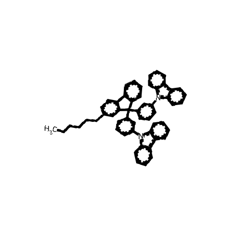 CCCCCCc1ccc2c(c1)C(c1cccc(-n3c4ccccc4c4ccccc43)c1)(c1cccc(-n3c4ccccc4c4ccccc43)c1)c1ccccc1-2